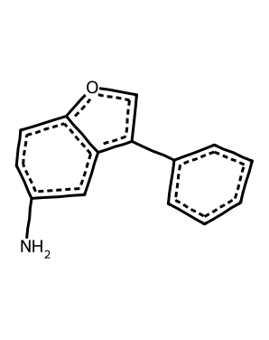 Nc1ccc2occ(-c3ccccc3)c2c1